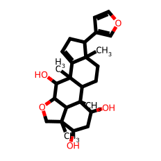 CC12CCC3C(C)(C1=CCC2c1ccoc1)C(O)C1OCC2(C)C(O)CC(O)C3(C)C12